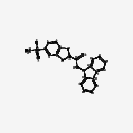 CS(=O)(=O)c1ccc2c(c1)CN(C(=O)OC1c3ccccc3-c3ccccc31)C2